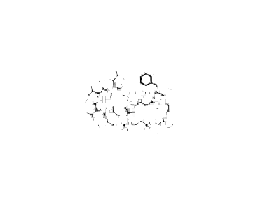 CC[C@H](C)[C@@H]([C@@H](CC(=O)N1CCC[C@H]1[C@H](OC)[C@@H](C)C(=O)N[C@@H](Cc1ccccc1)C(=O)NC[C@H](C)OC(=O)[C@H](C)OC(=O)CCNC(=O)OCC(O)OC(C)CO)OC)N(C)C(=O)[C@@H](NC(=O)[C@H](C(C)C)N(C)C)C(C)C